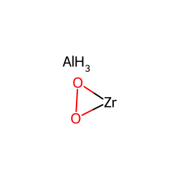 [AlH3].[O]1[O][Zr]1